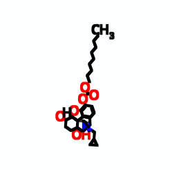 CCCCCCCCCCOC(=O)Oc1ccc2c3c1O[C@H]1C(=O)CC[C@@]4(O)C(C2)N(CC2CC2)CC[C@]314